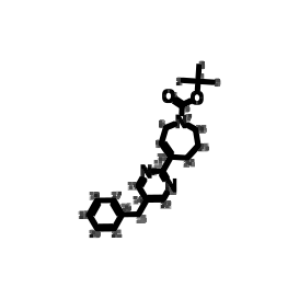 CC(C)(C)OC(=O)N1CC=C(c2ncc(Cc3ccccc3)cn2)CCC1